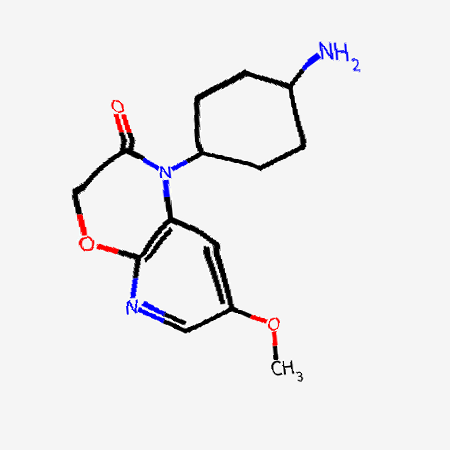 COc1cnc2c(c1)N(C1CCC(N)CC1)C(=O)CO2